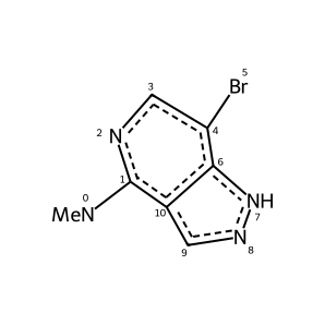 CNc1ncc(Br)c2[nH]ncc12